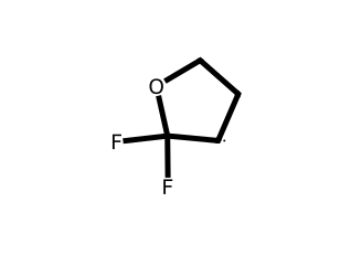 FC1(F)[CH]CCO1